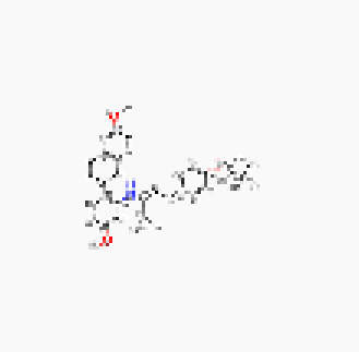 COc1ccc2c(c1)CCC(c1ccc(OC)cc1NC(CCc1ccc(O[Si](C)(C)C(C)(C)C)cc1)C1CC1)C2